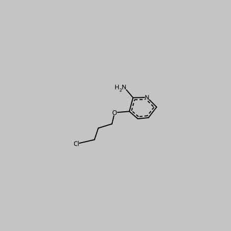 Nc1ncccc1OCCCCl